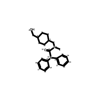 CN(CC1CCC(CO)CC1)C(=O)N(c1ccccc1)c1ccccc1